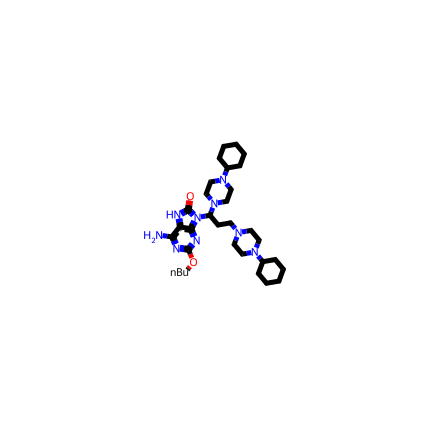 CCCCOc1nc(N)c2[nH]c(=O)n(C(CCN3CCN(C4CCCCC4)CC3)N3CCN(C4CCCCC4)CC3)c2n1